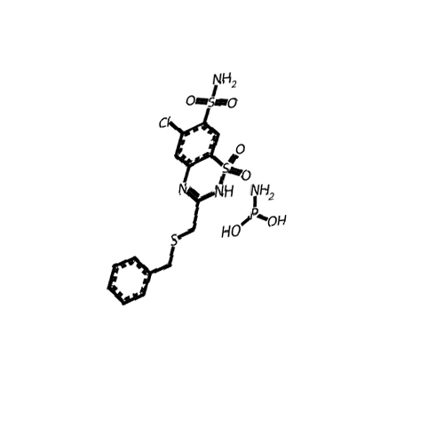 NP(O)O.NS(=O)(=O)c1cc2c(cc1Cl)N=C(CSCc1ccccc1)NS2(=O)=O